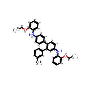 Cc1cccc(-c2cc(Nc3ccccc3OCC(F)(F)F)ccc2-c2ccc(Nc3ccccc3OCC(F)(F)F)cc2)c1